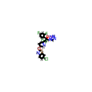 OC(Cn1cnnn1)(c1ccc(F)cc1F)C(F)(F)c1ccc(Oc2nc3ccc(Cl)cc3s2)cn1